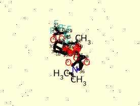 CC(C)N1C(=O)C2C3OC(C(OC(=O)C45CC6CC(C4)C4(OCC(C(F)(F)F)(C(F)(F)F)O4)C(C6)C5)C31)C2C(=O)OC(C)C(F)(F)S(=O)(=O)O